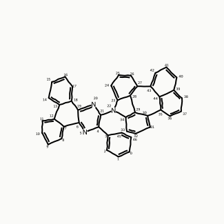 c1ccc(-c2nc3c4ccccc4c4ccccc4c3nc2-n2c3cccc4c3c3c(cccc32)-c2cccc3cccc-4c23)cc1